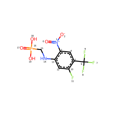 O=[N+]([O-])c1cc(C(F)(F)F)c(F)cc1NCP(=O)(O)O